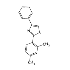 Cc1ccc(-c2nc(-c3ccccc3)cs2)c(C)c1